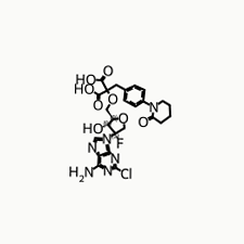 Nc1nc(Cl)nc2c1ncn2[C@]1(F)CO[C@H](COC(Cc2ccc(N3CCCCC3=O)cc2)(C(=O)O)C(=O)O)[C@H]1O